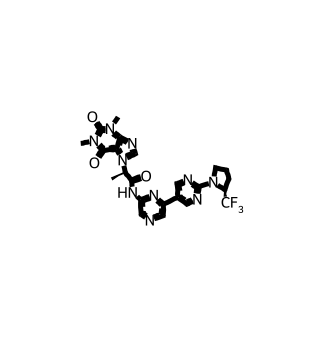 C[C@H](C(=O)Nc1cncc(-c2cnc(N3CCC[C@H]3C(F)(F)F)nc2)n1)n1cnc2c1c(=O)n(C)c(=O)n2C